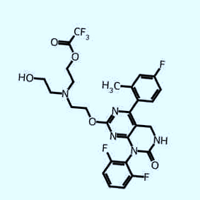 Cc1cc(F)ccc1-c1nc(OCCN(CCO)CCOC(=O)C(F)(F)F)nc2c1CNC(=O)N2c1c(F)cccc1F